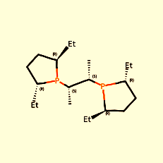 CC[C@@H]1CC[C@@H](CC)P1[C@@H](C)[C@H](C)P1[C@H](CC)CC[C@H]1CC